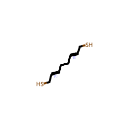 SC/C=C/CC/C=C/CS